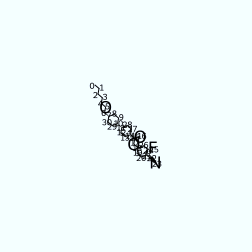 CCCCCOC[C@H]1CC[C@H](c2ccc(C(=O)Oc3ccc(C#N)c(F)c3)cc2)CC1